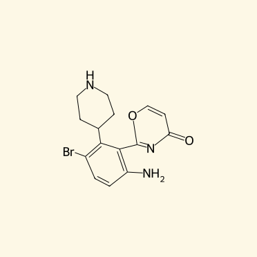 Nc1ccc(Br)c(C2CCNCC2)c1-c1nc(=O)cco1